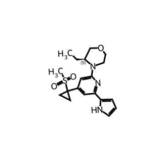 CC[C@H]1COCCN1c1cc(C2(S(C)(=O)=O)CC2)cc(-c2ccc[nH]2)n1